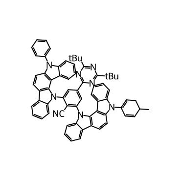 CC1C=CC(n2c3ccccc3c3c2ccc2c4ccccc4n(-c4cc(-c5nc(C(C)(C)C)nc(C(C)(C)C)n5)cc(-n5c6ccccc6c6ccc7c(c8ccccc8n7-c7ccccc7)c65)c4C#N)c23)=CC1